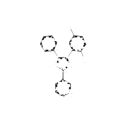 Clc1ccc(Cl)c(-c2nc(-c3cccnc3)[nH]c2-c2ccccc2)c1